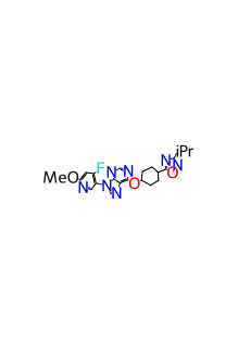 COc1cc(F)c(-n2cnc3c(OC4CCC(c5nc(C(C)C)no5)CC4)ncnc32)cn1